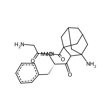 COC(=O)C12CC3CC(CC(N)(C3)C1C(=O)[C@H](Cc1ccccc1)NC(=O)CN)C2